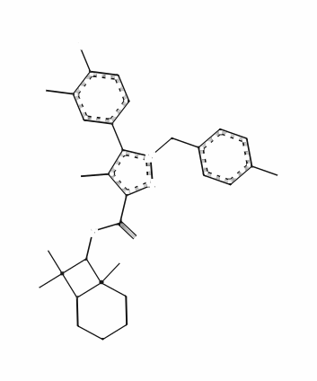 Cc1ccc(Cn2nc(C(=O)NC3C(C)(C)C4CCCCC43C)c(C)c2-c2ccc(Cl)c(C)c2)cc1